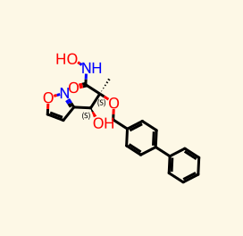 C[C@@](OCc1ccc(-c2ccccc2)cc1)(C(=O)NO)[C@@H](O)c1ccon1